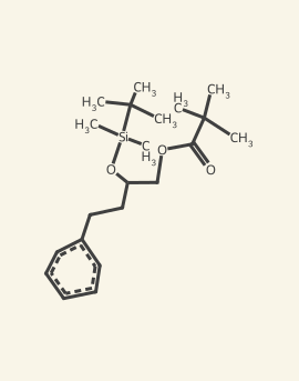 CC(C)(C)C(=O)OCC(CCc1ccccc1)O[Si](C)(C)C(C)(C)C